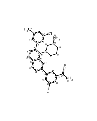 Cc1cc(Cl)cc(-c2nnc3ccc(-c4cc(F)cc(C(N)=O)c4)cc3c2N2CCC[C@H](N)C2)c1